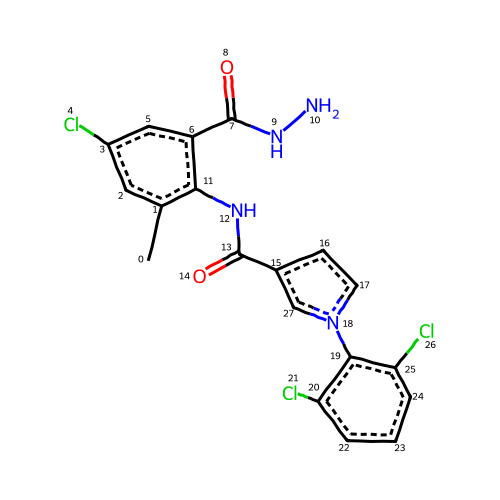 Cc1cc(Cl)cc(C(=O)NN)c1NC(=O)c1ccn(-c2c(Cl)cccc2Cl)c1